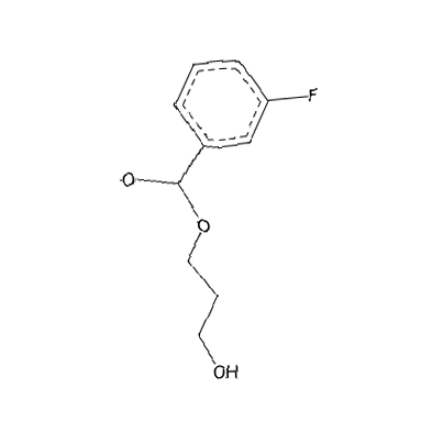 [O]C(OCCCO)c1cccc(F)c1